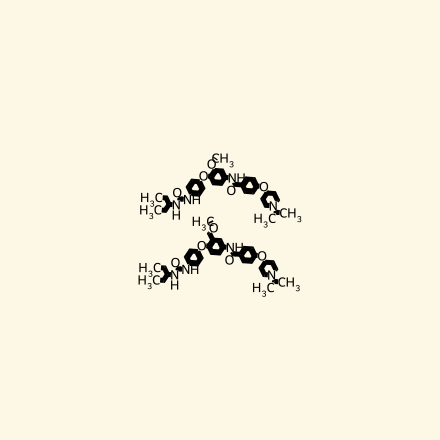 CCC(CC)NC(=O)Nc1ccc(Oc2ccc(NC(=O)c3ccc(OC4CCN(C(C)C)CC4)cc3)cc2COC)cc1.CCC(CC)NC(=O)Nc1ccc(Oc2ccc(NC(=O)c3ccc(OC4CCN(C(C)C)CC4)cc3)cc2OC)cc1